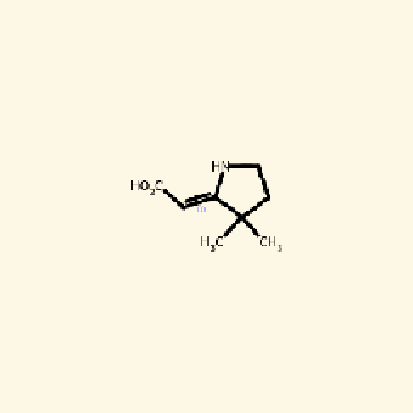 CC1(C)CCN/C1=C\C(=O)O